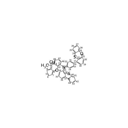 CC1(C)c2ccccc2Oc2c(N(c3ccc(-c4cccc5c4Sc4ccccc4O5)cc3)c3cccc4c3sc3ccccc34)cccc21